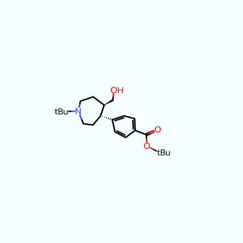 CC(C)(C)OC(=O)c1ccc([C@@H]2CCN(C(C)(C)C)CC[C@H]2CO)cc1